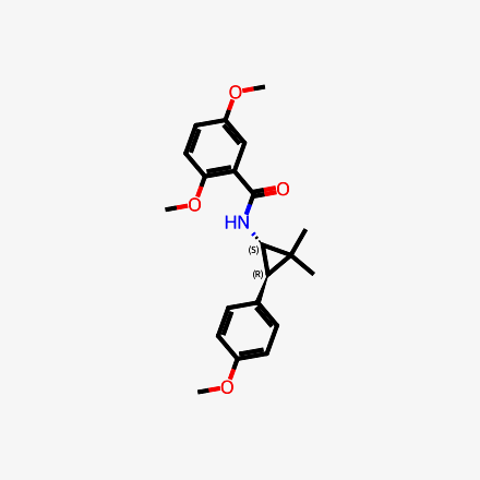 COc1ccc([C@H]2[C@H](NC(=O)c3cc(OC)ccc3OC)C2(C)C)cc1